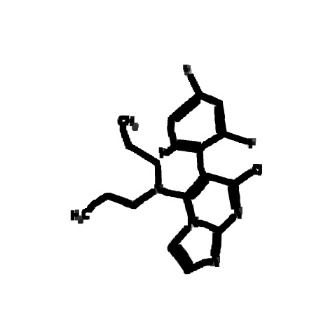 CCCN(CCC)c1c(-c2c(F)cc(F)cc2F)c(Cl)nc2nccn12